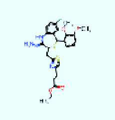 CCOC(=O)CCc1csc(CC2SC(c3cccc(OC)c3OC)c3cc(Cl)ccc3NC2=NN)n1